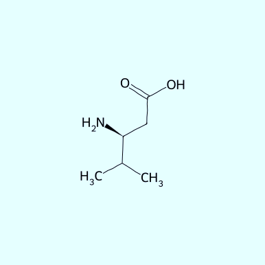 CC(C)[C@@H](N)CC(=O)O